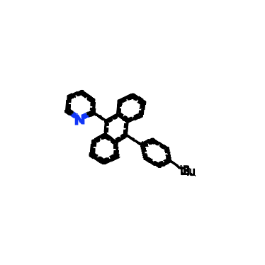 CC(C)(C)c1ccc(-c2c3ccccc3c(-c3ccccn3)c3ccccc23)cc1